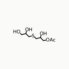 CC(=O)OCC(O)CSCC(O)CO